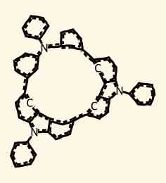 c1ccc(-n2c3cccc(c3)c3ccc4c(c3)c3cc(ccc3n4-c3ccccc3)c3ccc4c(c3)c3cc(ccc3n4-c3ccccc3)c3cccc2c3)cc1